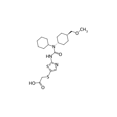 COC[C@H]1CC[C@H](N(C(=O)Nc2ncc(SCC(=O)O)s2)C2CCCCC2)CC1